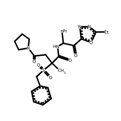 CCCC(NC(=O)C(C)(CC(=O)N1CCCC1)S(=O)(=O)Cc1ccccc1)C(=O)c1nnc(CC)o1